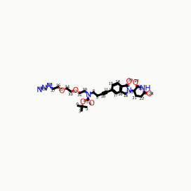 CC(C)(C)OC(=O)N(CCC#Cc1ccc2c(c1)CN(C1CCC(=O)NC1=O)C2=O)CCOCCOCCN=[N+]=[N-]